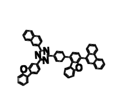 C1=CC(c2ccc(-c3cc4ccccc4c4ccccc34)c3oc4ccccc4c23)CC=C1c1nc(-c2ccc3ccccc3c2)nc(-c2ccc3c(c2)oc2ccccc23)n1